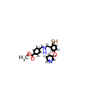 COC(=O)c1ccc(CNCc2cc(Oc3cccnc3)ccc2S)cc1